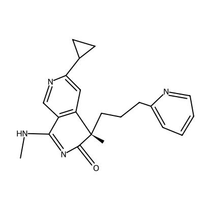 CNC1=NC(=O)[C@@](C)(CCCc2ccccn2)c2cc(C3CC3)ncc21